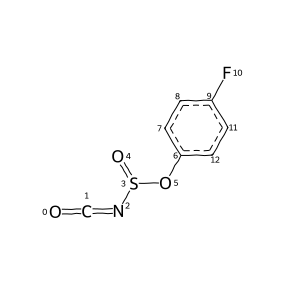 O=C=NS(=O)Oc1ccc(F)cc1